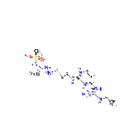 CN/C(=N/S(C)(=O)=O)NNCCCNc1nccc(N/C(N)=N\CC(F)(F)F)n1